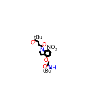 CC(C)(C)NC(=O)COc1ccc([N+](=O)[O-])c2c1CCN2C(=O)CCC(=O)C(C)(C)C